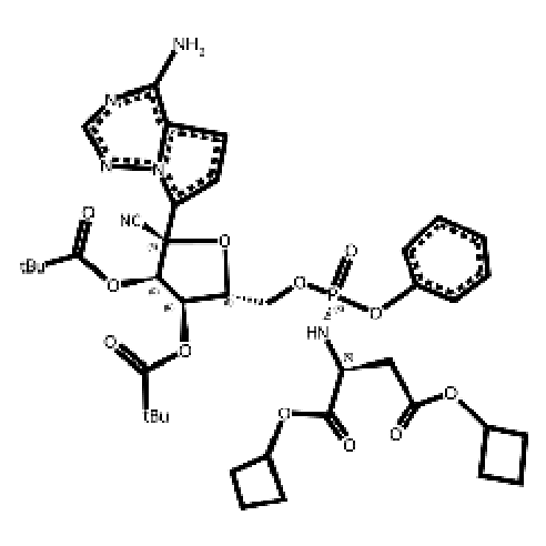 CC(C)(C)C(=O)O[C@H]1[C@@H](OC(=O)C(C)(C)C)[C@](C#N)(c2ccc3c(N)ncnn23)O[C@@H]1CO[P@](=O)(N[C@@H](CC(=O)OC1CCC1)C(=O)OC1CCC1)Oc1ccccc1